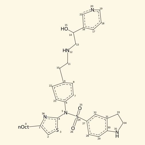 CCCCCCCCc1csc(N(c2ccc(CCNCC(O)c3cccnc3)cc2)S(=O)(=O)c2ccc3c(c2)CCN3)n1